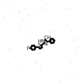 Cc1[nH]c(-c2ccc(-c3ccc(F)cc3)s2)nc1-c1ccccc1